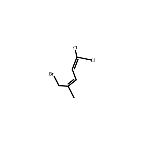 CC(=CC=C(Cl)Cl)CBr